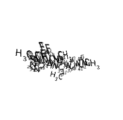 CCc1cc(Nc2ncc(C(F)(F)F)c(Nc3ccc4nccnc4c3N(C)SC)n2)c(OC)cc1N1CCC(N2CCN(C)CC2)CC1